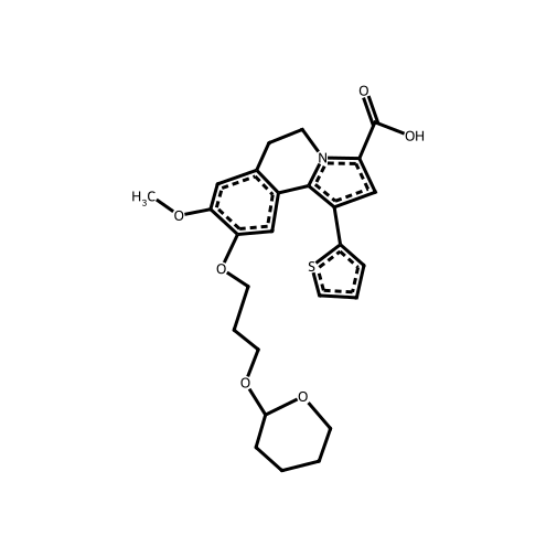 COc1cc2c(cc1OCCCOC1CCCCO1)-c1c(-c3cccs3)cc(C(=O)O)n1CC2